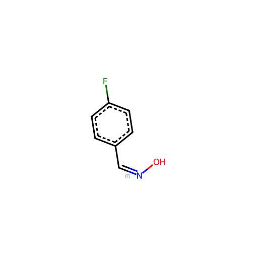 O/N=C\c1ccc(F)cc1